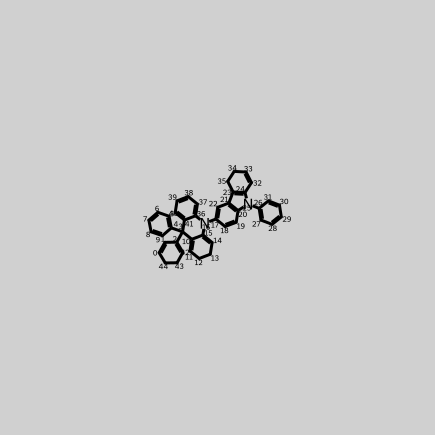 C1=CC(C2(c3ccccc3)C3=CCCC=C3N(c3ccc4c(c3)c3c(n4-c4ccccc4)C=CCC3)c3ccccc32)=CCC1